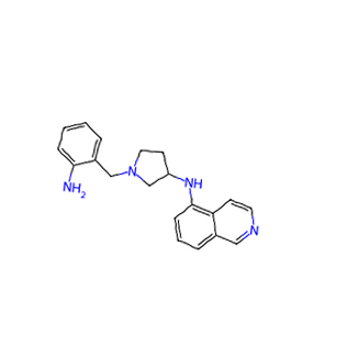 Nc1ccccc1CN1CCC(Nc2cccc3cnccc23)C1